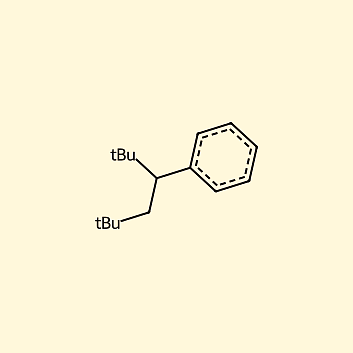 CC(C)(C)CC(c1ccccc1)C(C)(C)C